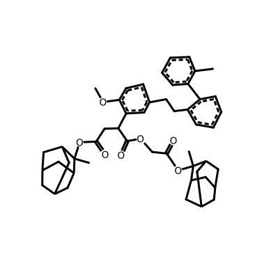 COc1ccc(CCc2ccccc2-c2ccccc2C)cc1C(CC(=O)OC1(C)C2CC3CC(C2)CC1C3)C(=O)OCC(=O)OC1(C)C2CC3CC(C2)CC1C3